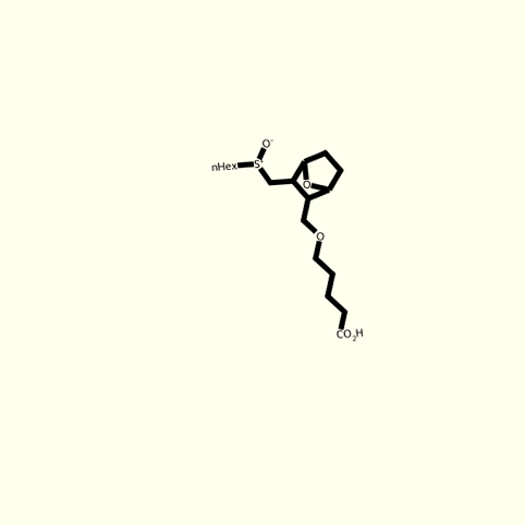 CCCCCC[S+]([O-])CC1C2CCC(O2)C1COCCCCC(=O)O